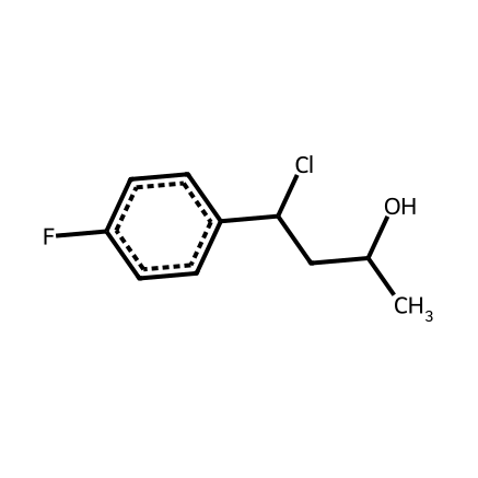 CC(O)CC(Cl)c1ccc(F)cc1